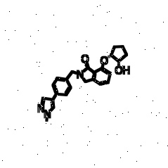 Cn1cc(-c2ccc(CN3Cc4cccc(O[C@@H]5CCC[C@H]5O)c4C3=O)cc2)cn1